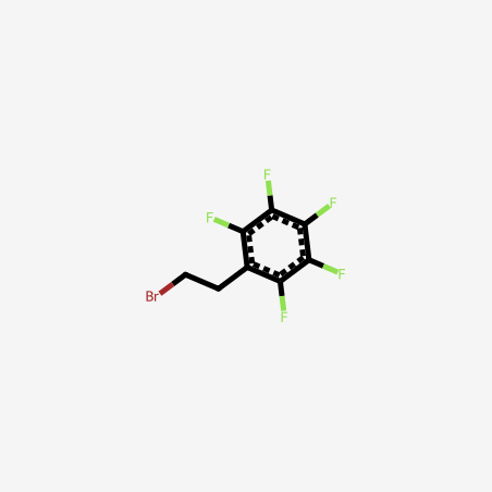 Fc1c(F)c(F)c(CCBr)c(F)c1F